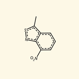 Cc1snc2c([N+](=O)[O-])cccc12